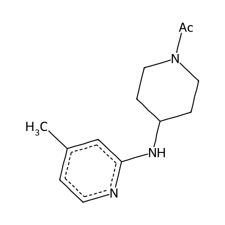 CC(=O)N1CCC(Nc2cc(C)ccn2)CC1